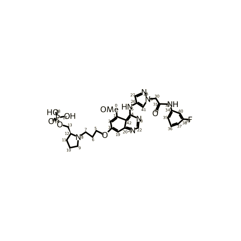 COc1cc(OCCCN2CCC[C@H]2COP(=O)(O)O)cc2ncnc(Nc3cnn(CC(=O)Nc4cccc(F)c4)c3)c12